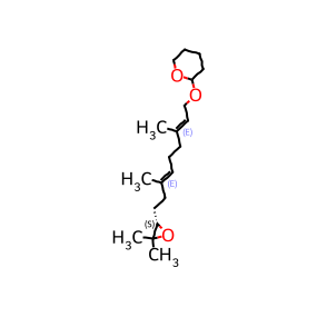 C/C(=C\COC1CCCCO1)CC/C=C(\C)CC[C@@H]1OC1(C)C